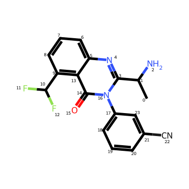 CC(N)c1nc2cccc(C(F)F)c2c(=O)n1-c1cccc(C#N)c1